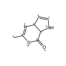 CC1=NC2C=CNC2C(=O)O1